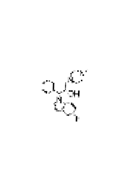 CN1CCN(C[C@H](O)[C@@H](c2ccccc2)n2ccc3cc(F)ccc32)CC1